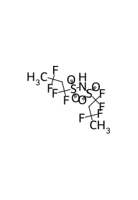 CC(F)(F)CC(F)(F)S(=O)(=O)NS(=O)(=O)C(F)(F)CC(C)(F)F